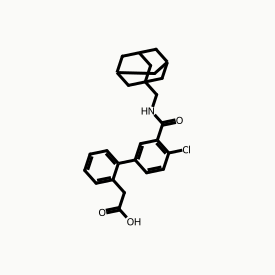 O=C(O)Cc1ccccc1-c1ccc(Cl)c(C(=O)NCC23CC4CC(CC(C4)C2)C3)c1